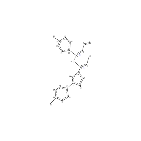 C=C/C=C(/S/C(=C\C)c1cnc(-c2ccc(C)cc2)s1)c1ccc(C)cc1